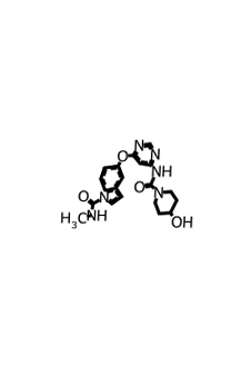 CNC(=O)n1ccc2cc(Oc3cc(NC(=O)N4CCC(O)CC4)ncn3)ccc21